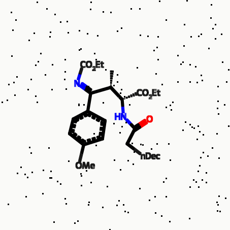 CCCCCCCCCCCC(=O)N[C@@H](C(=O)OCC)[C@@H](C)C(=NC(=O)OCC)c1ccc(OC)cc1